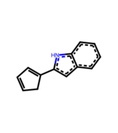 C1=CCC(c2cc3ccccc3[nH]2)=C1